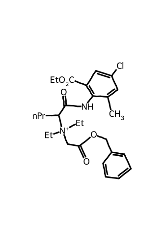 CCCC(C(=O)Nc1c(C)cc(Cl)cc1C(=O)OCC)[N+](CC)(CC)CC(=O)OCc1ccccc1